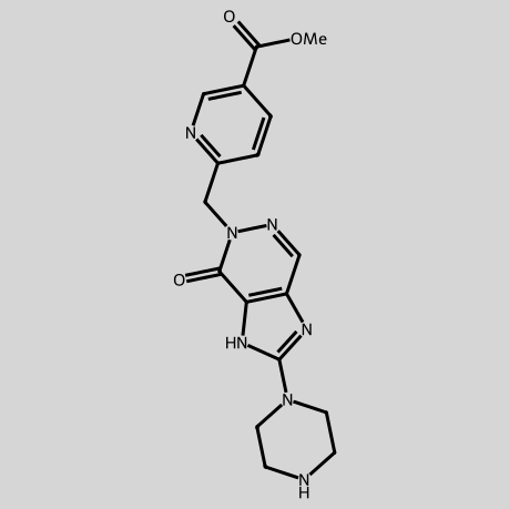 COC(=O)c1ccc(Cn2ncc3nc(N4CCNCC4)[nH]c3c2=O)nc1